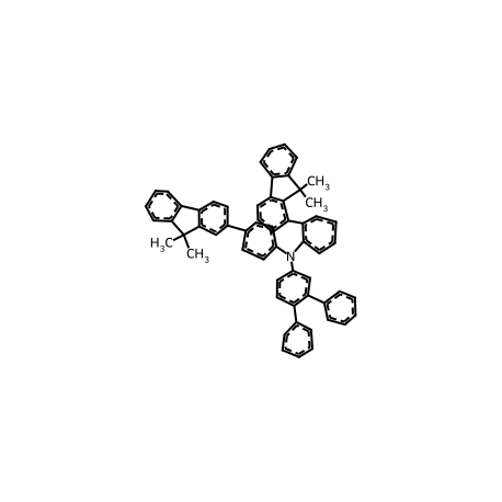 CC1(C)c2ccccc2-c2ccc(-c3ccc(N(c4ccc(-c5ccccc5)c(-c5ccccc5)c4)c4ccccc4-c4cccc5c4C(C)(C)c4ccccc4-5)cc3)cc21